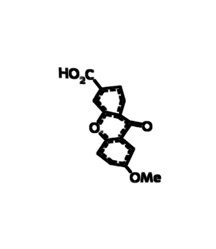 COc1ccc2oc3cc(C(=O)O)ccc3c(=O)c2c1